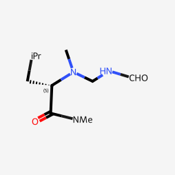 CNC(=O)[C@H](CC(C)C)N(C)CNC=O